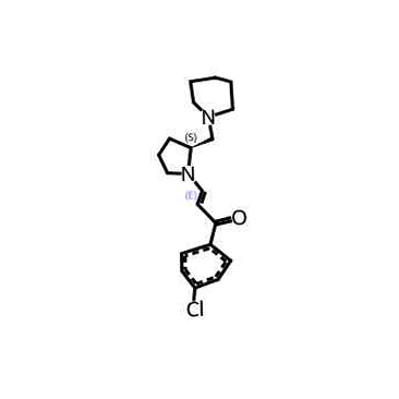 O=C(/C=C/N1CCC[C@H]1CN1CCCCC1)c1ccc(Cl)cc1